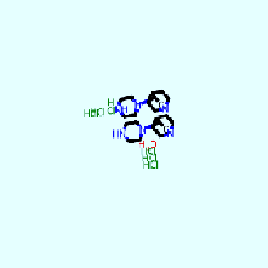 C1CN(C2CN3CCC2CC3)CCN1.C1CN(C2CN3CCC2CC3)CCN1.Cl.Cl.Cl.Cl.Cl.Cl.O